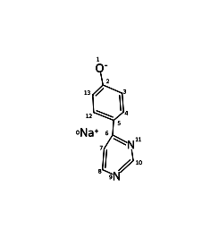 [Na+].[O-]c1ccc(-c2ccncn2)cc1